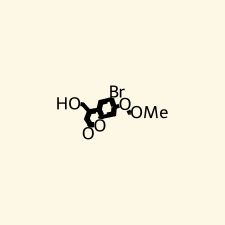 COCOc1cc2oc(=O)cc(CO)c2cc1Br